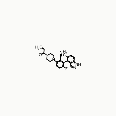 C=CC(=O)N1CCN(c2ccc(F)c(-c3c(C)ccc4[nH]ncc34)c2C#N)CC1